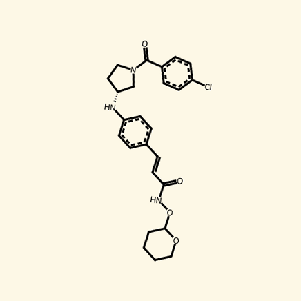 O=C(C=Cc1ccc(N[C@@H]2CCN(C(=O)c3ccc(Cl)cc3)C2)cc1)NOC1CCCCO1